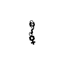 CC(C)(C)c1ccc(OCCCN2CCOCC2)cc1